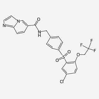 O=C(NCc1ccc(S(=O)(=O)c2cc(Cl)ccc2OCC(F)(F)F)cc1)c1ccc2nccn2c1